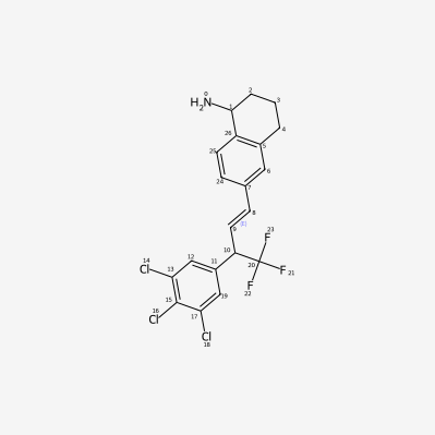 NC1CCCc2cc(/C=C/C(c3cc(Cl)c(Cl)c(Cl)c3)C(F)(F)F)ccc21